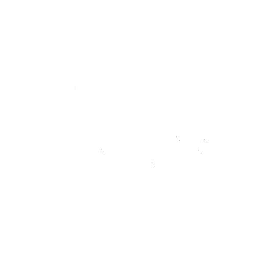 CC(C)C(Oc1ccc(-c2cn3cnnc3cn2)cn1)C(F)(F)F